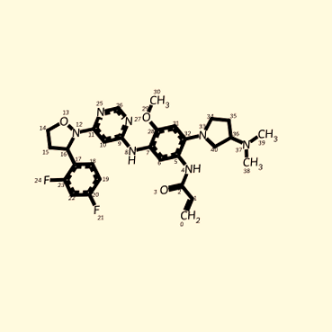 C=CC(=O)Nc1cc(Nc2cc(N3OCCC3c3ccc(F)cc3F)ncn2)c(OC)cc1N1CCC(N(C)C)C1